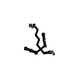 C=CC(CCCCC)(N=C=O)N=C=O